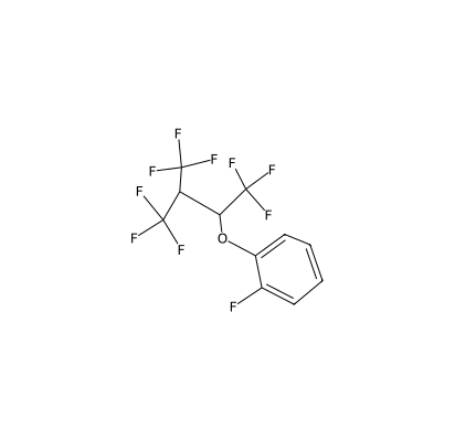 Fc1ccccc1OC(C(C(F)(F)F)C(F)(F)F)C(F)(F)F